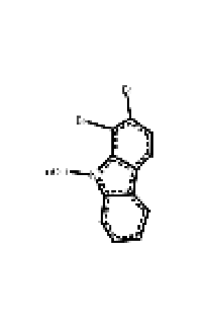 CCCCCCCCn1c2ccccc2c2ccc(Br)c(Br)c21